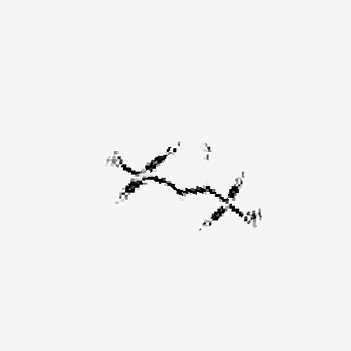 O=S(=O)(O)CCS(=O)(=O)O.[Cd]